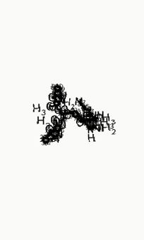 COc1cc2c(cc1OCCN(CCOc1cc3c(cc1OC)C(=O)N1Cc4ccccc4C[C@H]1C=N3)C(=O)OCc1ccc(NC(=O)[C@H](CCCNC(N)=O)NC(=O)[C@@H](NC(=O)CCCCCN)C(C)C)cc1)N=C[C@@H]1Cc3ccccc3CN1C2=O